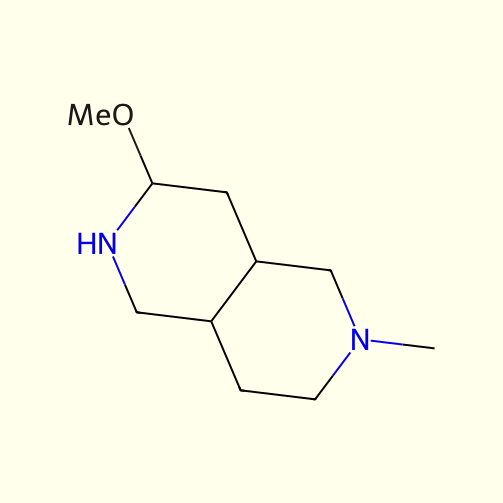 COC1CC2CN(C)CCC2CN1